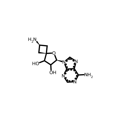 Nc1ncnc2c1ncn2[C@@H]1O[C@]2(C[C@@H](N)C2)C(O)C1O